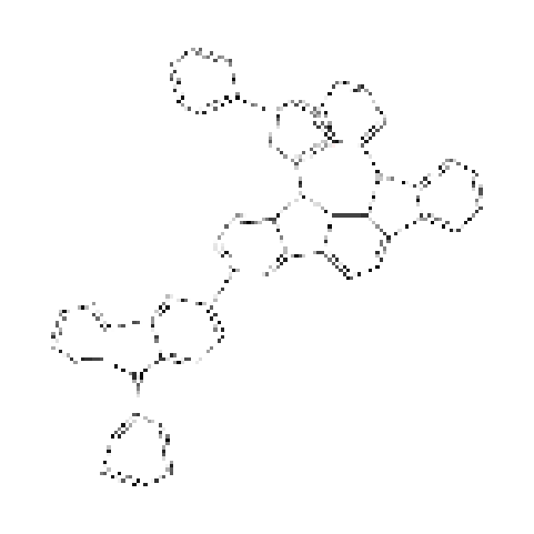 c1ccc(-c2cccc(-n3c4ccc(-c5ccc6c(c5)c5ccccc5n6-c5ccccc5)cc4c4ccc5c6ccccc6n(-c6ccccc6)c5c43)c2)cc1